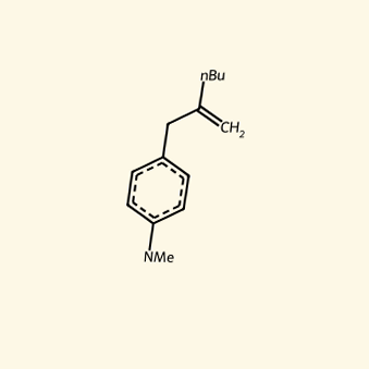 C=C(CCCC)Cc1ccc(NC)cc1